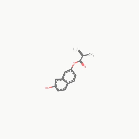 C=C(C)C(=O)Oc1ccc2ccc(O)cc2c1